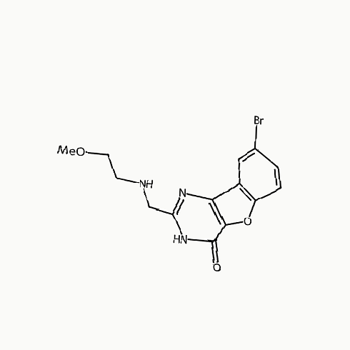 COCCNCc1nc2c(oc3ccc(Br)cc32)c(=O)[nH]1